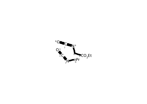 CCCN=C=O.CCOC(=O)CN=C=O